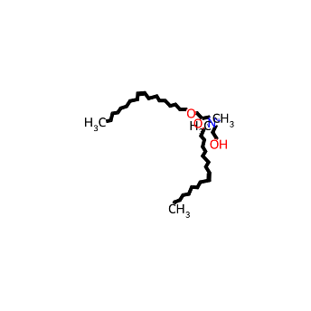 CCCCCCCC/C=C\CCCCCCCCOCC(C[N+](C)(C)CCCO)OCCCCCCCC/C=C\CCCCCCCC